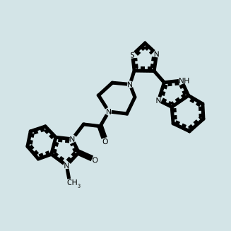 Cn1c(=O)n(CC(=O)N2CCN(c3scnc3-c3nc4ccccc4[nH]3)CC2)c2ccccc21